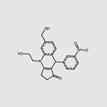 O=C1CCC2=C1C(c1cccc([N+](=O)[O-])c1)c1ccc(CO)cc1N2CCO